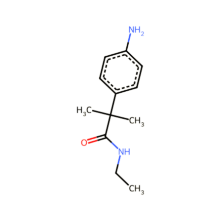 CCNC(=O)C(C)(C)c1ccc(N)cc1